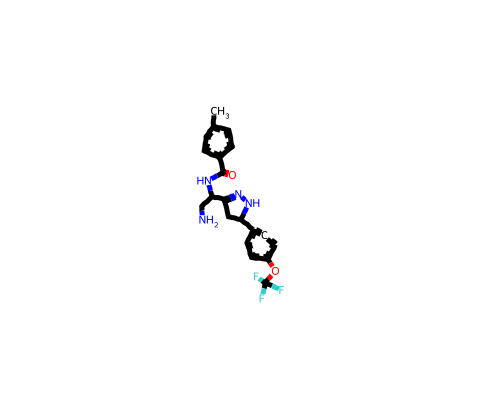 Cc1ccc(C(=O)NC(CN)C2=NNC(c3ccc(OC(F)(F)F)cc3)C2)cc1